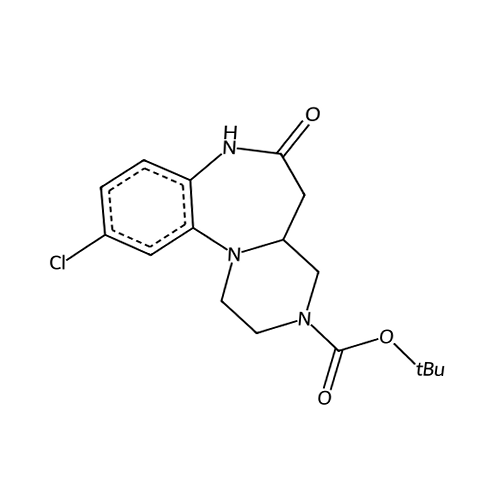 CC(C)(C)OC(=O)N1CCN2c3cc(Cl)ccc3NC(=O)CC2C1